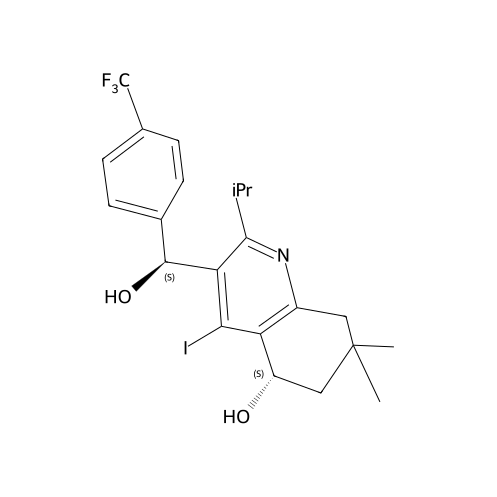 CC(C)c1nc2c(c(I)c1[C@@H](O)c1ccc(C(F)(F)F)cc1)[C@@H](O)CC(C)(C)C2